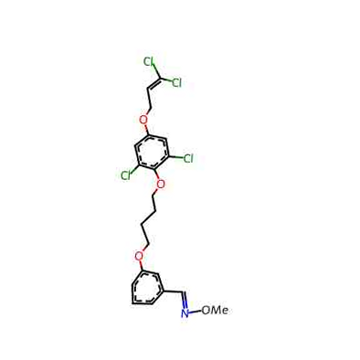 CON=Cc1cccc(OCCCCOc2c(Cl)cc(OCC=C(Cl)Cl)cc2Cl)c1